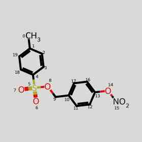 Cc1ccc(S(=O)(=O)OCc2ccc(O[N+](=O)[O-])cc2)cc1